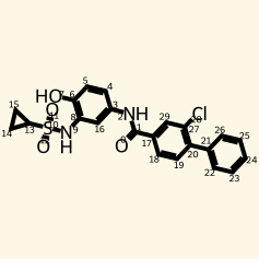 O=C(Nc1ccc(O)c(NS(=O)(=O)C2CC2)c1)c1ccc(-c2ccccc2)c(Cl)c1